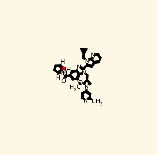 COc1cc(C(=O)N2C[C@H]3CC[C@@H]2[C@@H]3N)cc2nc(-c3cc4cccnc4n3CC3CC3)n(CC3CN(c4ccnc(C)c4)C3)c12